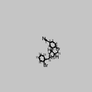 N#Cc1ccc2c(c1)[C@@H]1CN(Cc3ccccc3Br)C[C@H]1CO2